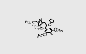 CCc1sc(CC(OC2CCCC2)C(O)c2cc(OC)c(C)c(OC)c2)nc1CC(=O)O